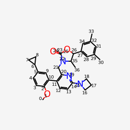 COc1ccc(C2CC2)cc1-c1ccc(N2CCC2)nc1CN1C(=O)OC(c2cc(C)cc(C)c2)C1C